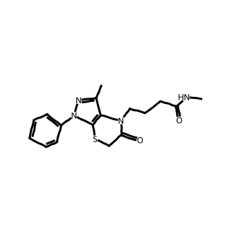 CNC(=O)CCCN1C(=O)CSc2c1c(C)nn2-c1ccccc1